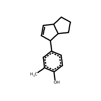 Cc1cc(C2C=CC3CCCC32)ccc1O